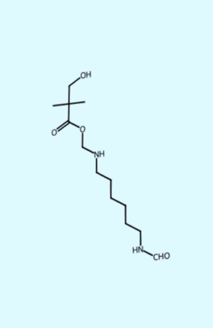 CC(C)(CO)C(=O)OCNCCCCCCNC=O